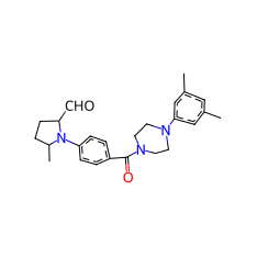 Cc1cc(C)cc(N2CCN(C(=O)c3ccc(N4C(C)CCC4C=O)cc3)CC2)c1